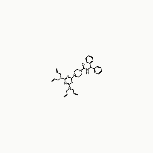 C=CCN(CC=C)c1nc(N(CC=C)CC=C)nc(N2CCN(C(=O)NC(c3ccccc3)c3ccccc3)CC2)n1